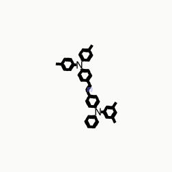 Cc1ccc(N(c2ccc(C)cc2)c2ccc(/C=C/c3ccc(N(c4ccccc4)c4cc(C)cc(C)c4)cc3)cc2)cc1